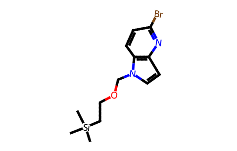 C[Si](C)(C)CCOCn1ccc2nc(Br)ccc21